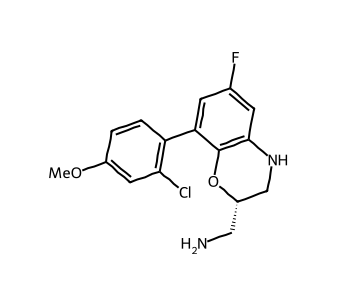 COc1ccc(-c2cc(F)cc3c2O[C@@H](CN)CN3)c(Cl)c1